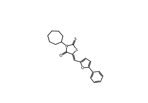 O=C1C(=Cc2ccc(-c3ccccc3)o2)SC(=S)N1C1CCCCCC1